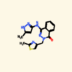 Cc1cc(Nc2nn(Cc3csc(C)n3)c(=O)c3ccccc23)n[nH]1